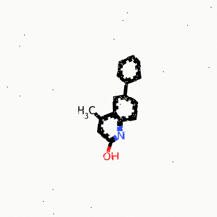 Cc1cc(O)nc2ccc(-c3ccccc3)cc12